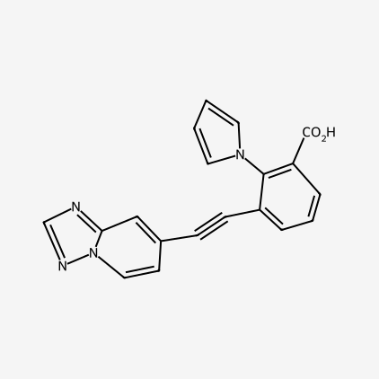 O=C(O)c1cccc(C#Cc2ccn3ncnc3c2)c1-n1cccc1